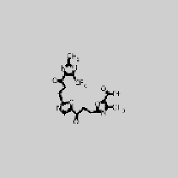 CCC(=O)c1oc(CCC(=O)c2cnc(CCC(=O)c3nc(C)oc3C(F)(F)F)o2)nc1C